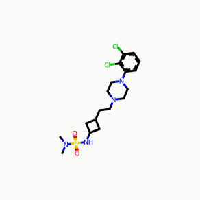 CN(C)S(=O)(=O)NC1CC(CCN2CCN(c3cccc(Cl)c3Cl)CC2)C1